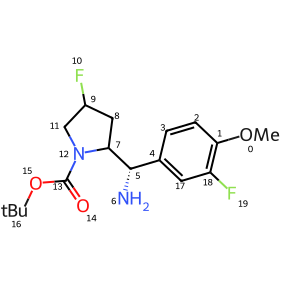 COc1ccc([C@H](N)C2CC(F)CN2C(=O)OC(C)(C)C)cc1F